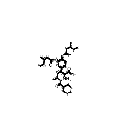 CCC(C)CC(=O)Oc1ccc(C(CC(C)OC(=O)C2CCCCC2)[C@H](N)C(=O)O)cc1OC(=O)CC(C)CC